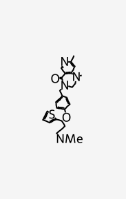 CNCCC(Oc1ccc(CN2CCN(C)c3cc(C)ncc3C2=O)cc1)c1cccs1